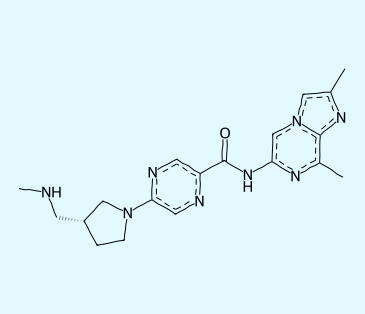 CNC[C@H]1CCN(c2cnc(C(=O)Nc3cn4cc(C)nc4c(C)n3)cn2)C1